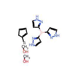 CO.CO.[Ti][C]1=CC=CC1.c1cc(B(c2cc[nH]n2)c2cc[nH]n2)n[nH]1